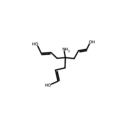 NC(CC=CO)(CC=CO)CC=CO